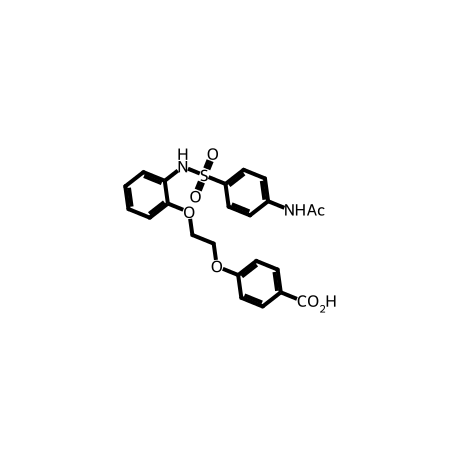 CC(=O)Nc1ccc(S(=O)(=O)Nc2ccccc2OCCOc2ccc(C(=O)O)cc2)cc1